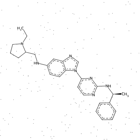 CCN1CCCC1CNc1ccc2c(c1)ncn2-c1ccnc(N[C@@H](C)c2ccccc2)n1